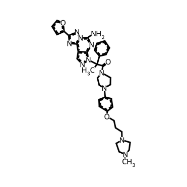 CN1CCN(CCCOc2ccc(N3CCN(C(=O)C(C)(c4ccccc4)n4ncc5c4nc(N)n4nc(-c6ccco6)nc54)CC3)cc2)CC1